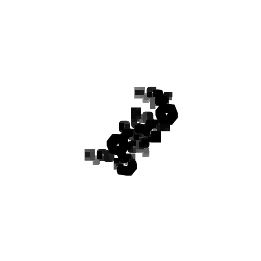 CCC(F)(F)c1cccc(NC(=O)/C(NO)=C(\C)NC(=O)c2ccc(OC)c(-c3ncccn3)c2C)c1